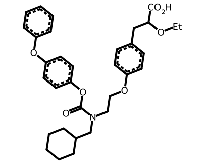 CCOC(Cc1ccc(OCCN(CC2CCCCC2)C(=O)Oc2ccc(Oc3ccccc3)cc2)cc1)C(=O)O